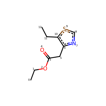 CCOC(=O)Cc1n[c]sc1CC